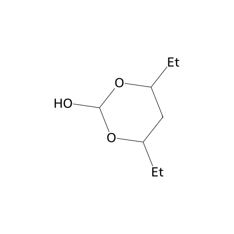 CCC1CC(CC)OC(O)O1